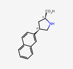 O=C(O)[C@@H]1C[C@H](c2ccc3ccccc3c2)CN1